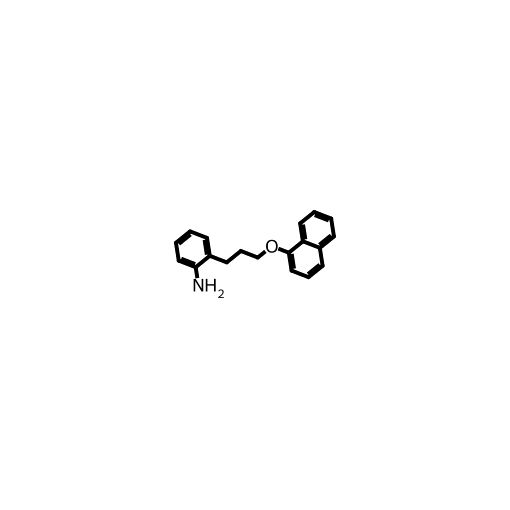 Nc1ccccc1CCCOc1cccc2ccccc12